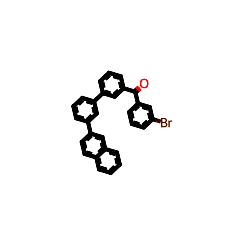 O=C(c1cccc(Br)c1)c1cccc(-c2cccc(-c3ccc4ccccc4c3)c2)c1